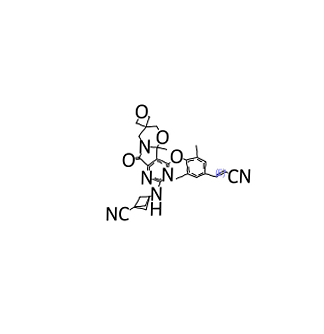 Cc1cc(/C=C/C#N)cc(C)c1Oc1nc(NC23CC(C#N)(C2)C3)nc2c1C1(C)OCC3(COC3)CN1C2=O